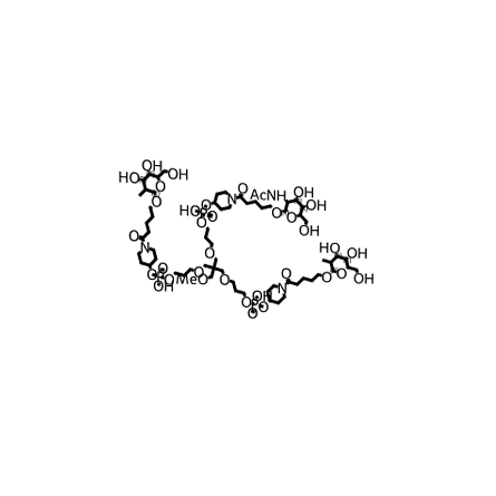 COCC(COCCCOP(=O)(O)OC1CCN(C(=O)CCCCO[C@@H]2OC(CO)[C@H](O)[C@H](O)C2C)CC1)(COCCCOP(=O)(O)OC1CCN(C(=O)CCCCO[C@@H]2OC(CO)[C@H](O)[C@H](O)C2C)CC1)COCCCOP(=O)(O)OC1CCN(C(=O)CCCCO[C@@H]2OC(CO)[C@H](O)[C@H](O)C2NC(C)=O)CC1